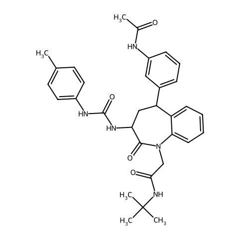 CC(=O)Nc1cccc(C2CC(NC(=O)Nc3ccc(C)cc3)C(=O)N(CC(=O)NC(C)(C)C)c3ccccc32)c1